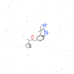 CC(C(=O)Cc1ccc2c(c1)C1(C)CCN(C)C1N2C)c1ccccc1